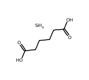 O=C(O)CCCCC(=O)O.[SiH4]